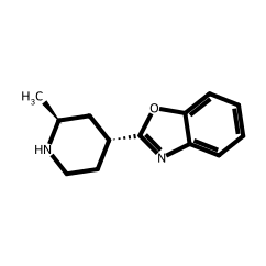 C[C@H]1C[C@H](c2nc3ccccc3o2)CCN1